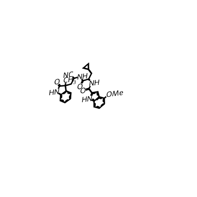 COc1cccc2[nH]c(C(=O)NC(CC3CC3)C(=O)NC(C#N)CC3(C)C(=O)Nc4ccccc43)cc12